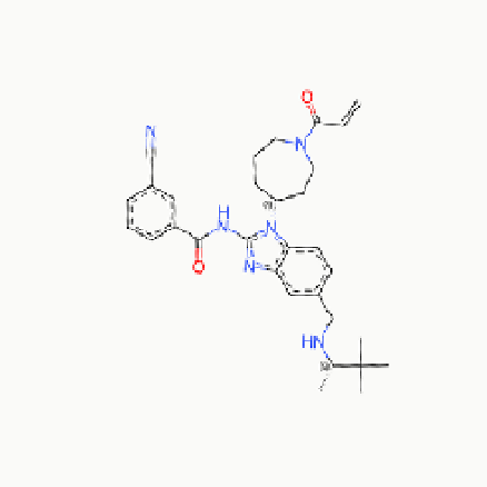 C=CC(=O)N1CCC[C@@H](n2c(NC(=O)c3cccc(C#N)c3)nc3cc(CN[C@@H](C)C(C)(C)C)ccc32)CC1